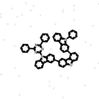 c1ccc(-c2nc(-c3ccccc3)nc(-n3c4ccccc4c4cc(-c5ccc6oc7cccc(-c8ccc9c%10ccccc%10n(-c%10ccccc%10)c9c8)c7c6c5)ccc43)n2)cc1